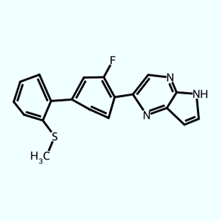 CSc1ccccc1-c1ccc(-c2cnc3[nH]ccc3n2)c(F)c1